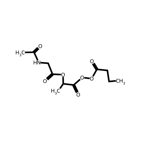 CCCC(=O)OOC(=O)C(C)OC(=O)CNC(C)=O